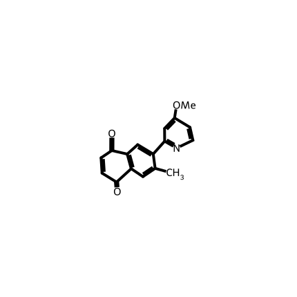 COc1ccnc(-c2cc3c(cc2C)C(=O)C=CC3=O)c1